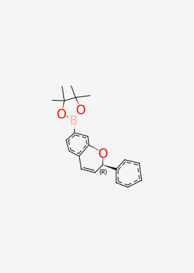 CC1(C)OB(c2ccc3c(c2)O[C@@H](c2ccccc2)C=C3)OC1(C)C